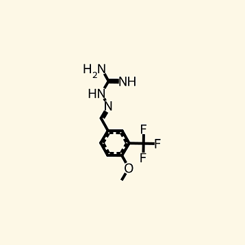 COc1ccc(/C=N/NC(=N)N)cc1C(F)(F)F